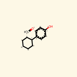 C=O.Oc1ccc(C2CCCCC2)cc1